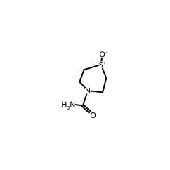 NC(=O)N1CC[S+]([O-])CC1